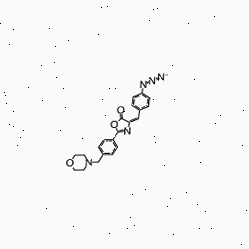 [N-]=[N+]=Nc1ccc(C=C2N=C(c3ccc(CN4CCOCC4)cc3)OC2=O)cc1